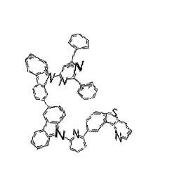 c1ccc(-c2cc(-n3c4ccccc4c4ccc(-c5ccc6c(c5)c5ccccc5n6-c5cccc(-c6ccc7sc8cccnc8c7c6)n5)cc43)nc(-c3ccccc3)n2)cc1